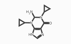 NC1N(C2CC2)C(=O)c2nc[nH]c2N1C1CC1